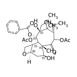 CC(=O)OC1C(=O)[C@@]2(C)C([C@H](OC(=O)c3ccccc3)[C@]3(O)C[C@H](C)C(C)=C1C3(C)C)[C@]1(OC(C)=O)CO[C@@H]1C[C@@H]2O